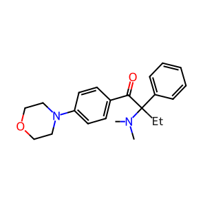 CCC(C(=O)c1ccc(N2CCOCC2)cc1)(c1ccccc1)N(C)C